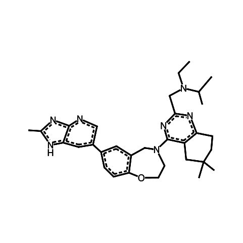 CCN(Cc1nc2c(c(N3CCOc4ccc(-c5cnc6nc(C)[nH]c6c5)cc4C3)n1)CC(C)(C)CC2)C(C)C